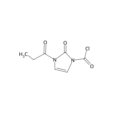 CCC(=O)n1ccn(C(=O)Cl)c1=O